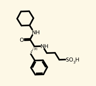 O=C(NC1CCCCC1)[C@@H](Cc1ccccc1)NCCCS(=O)(=O)O